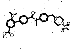 COC(=O)c1ccc(N(C)C)c(-c2ccc(C(=O)Nc3ccc(CN4CCN(S(C)(=O)=O)CC4)cc3)cc2)c1